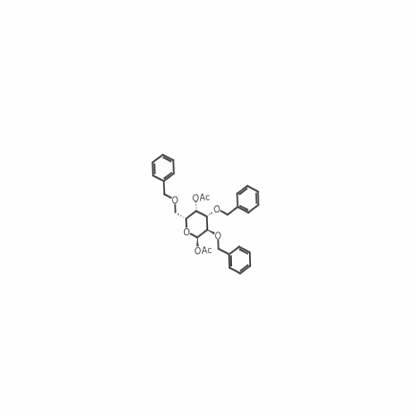 CC(=O)O[C@H]1O[C@H](COCc2ccccc2)[C@H](OC(C)=O)[C@H](OCc2ccccc2)[C@H]1OCc1ccccc1